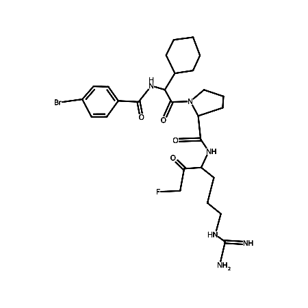 N=C(N)NCCCC(NC(=O)C1CCCN1C(=O)C(NC(=O)c1ccc(Br)cc1)C1CCCCC1)C(=O)CF